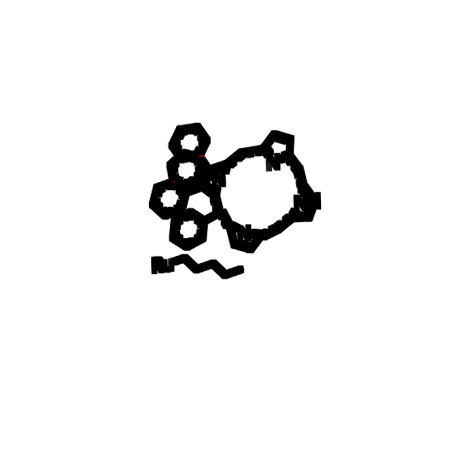 C1=Cc2cc3c(-c4ccccc4)c(-c4ccccc4)c(c(-c4ccccc4)c4nc(cc5ccc(cc1n2)[nH]5)C=C4)n3-c1ccccc1.CCCC[CH2][Ru]